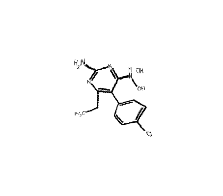 CCc1nc(N)nc(NO)c1-c1ccc(Cl)cc1.Cl